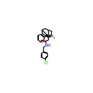 CC1C2CC3CC1CC(C2)C3(CC(=O)NCc1ccc(Cl)cc1)c1ccccc1